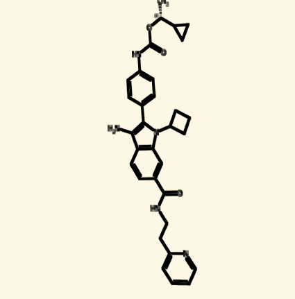 C[C@@H](OC(=O)Nc1ccc(-c2c(N)c3ccc(C(=O)NCCc4ccccn4)cc3n2C2CCC2)cc1)C1CC1